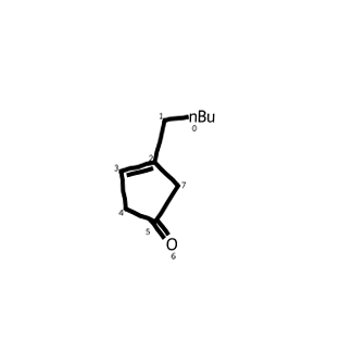 CCCCCC1=CCC(=O)C1